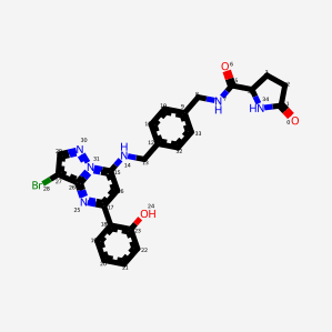 O=C1CCC(C(=O)NCc2ccc(CNc3cc(-c4ccccc4O)nc4c(Br)cnn34)cc2)N1